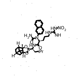 CC(C)C[C@H](NC(=O)[C@H](CCCNC(=N)N[N+](=O)[O-])N(C(N)=O)c1ccc2ccccc2c1)B1O[C@@H]2C[C@@H]3C[C@@H](C3(C)C)[C@]2(C)O1